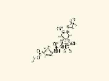 CCOC(=O)c1ccc(NC(=O)N[C@@](C)(c2ccc(CCC(C)(C)C)c(Cl)c2)C(CO)C(C)C)cc1